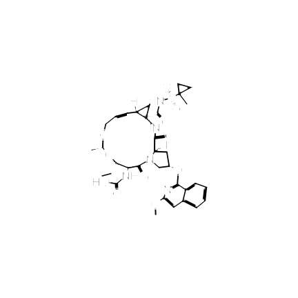 CC[C@@H]1C[C@@H](C)CCC=C[C@@H]2C[C@@]2(C(=O)NS(=O)(=O)C2(C)CC2)NC(=O)[C@@H]2C[C@@H](Oc3nc(OC)cc4ccccc34)CN2C(=O)[C@H]1NC(=O)O